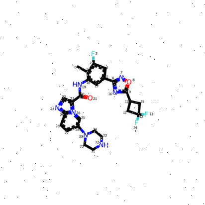 Cc1c(F)cc(-c2noc(C3CC(F)(F)C3)n2)cc1NC(=O)c1cnc2ccc(N3CCNCC3)cn12